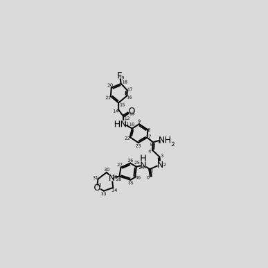 C=C(/N=C\C=C(/N)c1ccc(NC(=O)Cc2ccc(F)cc2)cc1)Nc1ccc(N2CCOCC2)cc1